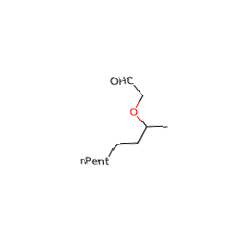 CCCCCCCC(C)OCC=O